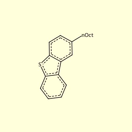 CCCCCCCCc1ccc2sc3ccccc3c2c1